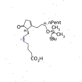 CCCCC[C@@H](CCC1=CCC(=O)[C@@H]1C/C=C\CCCC(=O)O)O[Si](C)(C)C(C)(C)C